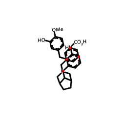 COc1ccc(Cc2c(CC3C4CCC3CN(Cc3ccccc3)C4)cccc2NC(=O)O)cc1O